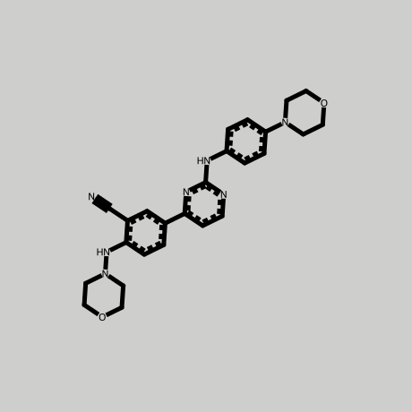 N#Cc1cc(-c2ccnc(Nc3ccc(N4CCOCC4)cc3)n2)ccc1NN1CCOCC1